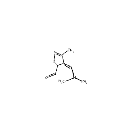 CC1=NOC(C=O)C1=CN(C)C